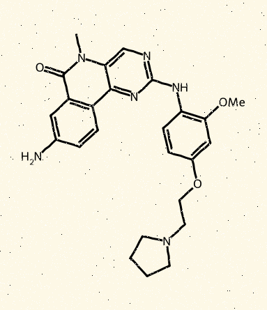 COc1cc(OCCN2CCCC2)ccc1Nc1ncc2c(n1)c1ccc(N)cc1c(=O)n2C